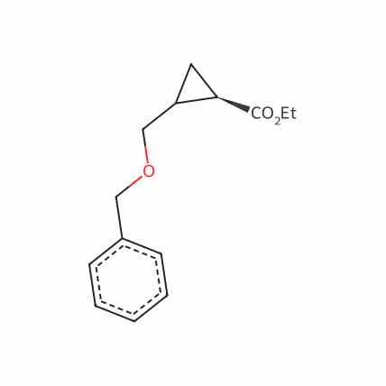 CCOC(=O)[C@@H]1CC1COCc1ccccc1